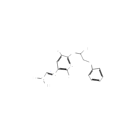 CCN(C)/C=N/c1cc(Br)c(OC(C)COc2ccccc2)nc1C